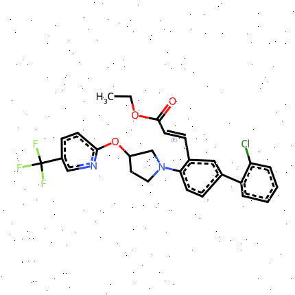 CCOC(=O)/C=C/c1cc(-c2ccccc2Cl)ccc1N1CCC(Oc2ccc(C(F)(F)F)cn2)C1